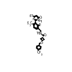 CCc1cc(=O)[nH]c(-c2c(C(F)(F)F)ccc(CNC(=O)[C@H]3C[C@H](OCc4ccc(C(F)(F)F)cc4)C3)c2F)n1